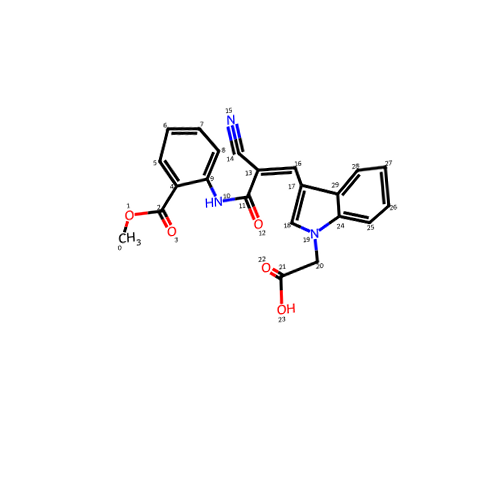 COC(=O)c1ccccc1NC(=O)C(C#N)=Cc1cn(CC(=O)O)c2ccccc12